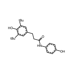 CC(C)(C)c1cc(CCC(=O)Nc2ccc(O)cc2)cc(C(C)(C)C)c1O